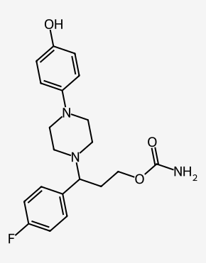 NC(=O)OCCC(c1ccc(F)cc1)N1CCN(c2ccc(O)cc2)CC1